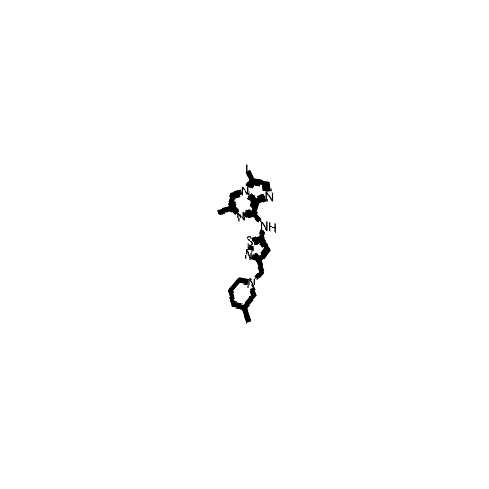 Cc1cn2c(I)cnc2c(Nc2cc(CN3CCCC(C)C3)ns2)n1